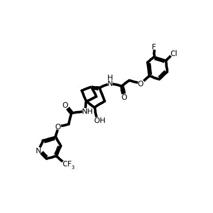 O=C(COc1ccc(Cl)c(F)c1)NC1=C2CC(NC(=O)COc3cncc(C(F)(F)F)c3)(C2)C(O)C1